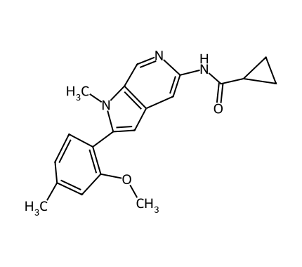 COc1cc(C)ccc1-c1cc2cc(NC(=O)C3CC3)ncc2n1C